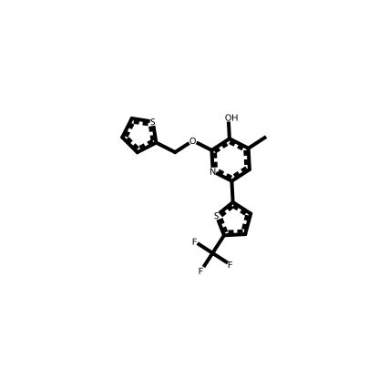 Cc1cc(-c2ccc(C(F)(F)F)s2)nc(OCc2cccs2)c1O